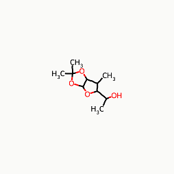 CC(O)C1OC2OC(C)(C)OC2C1C